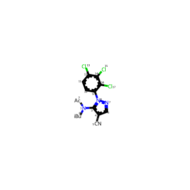 CCC(C)N(C(C)=O)c1c(C#N)cnn1-c1ccc(Cl)c(Cl)c1Cl